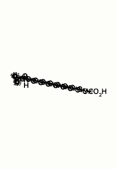 O=C(O)CCOCCOOCCOOCCOOCCOOCCOOCCOOCCOOCCONC(=O)OCC1c2ccccc2-c2ccccc21